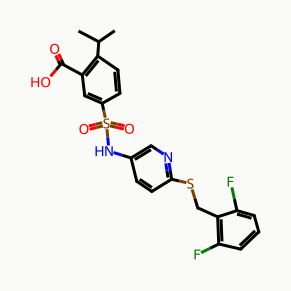 CC(C)c1ccc(S(=O)(=O)Nc2ccc(SCc3c(F)cccc3F)nc2)cc1C(=O)O